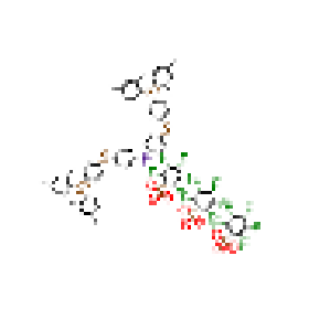 Cc1ccc([S+](c2ccc(Sc3ccc([I+]c4ccc(Sc5ccc([S+](c6ccc(C)cc6C)c6ccc(C)cc6C)cc5)cc4)cc3)cc2)c2ccc(C)cc2C)c(C)c1.O=S(=O)([O-])c1c(F)c(F)c(F)c(F)c1F.O=S(=O)([O-])c1c(F)c(F)c(F)c(F)c1F.O=S(=O)([O-])c1c(F)c(F)c(F)c(F)c1F